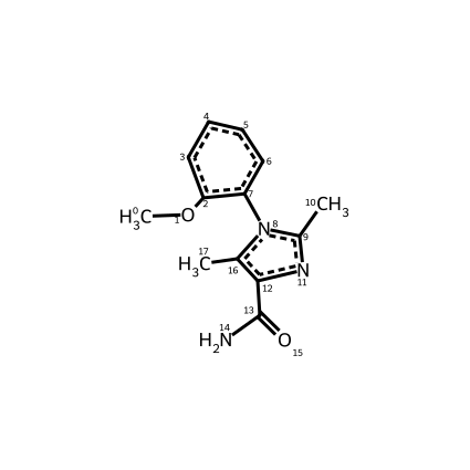 COc1ccccc1-n1c(C)nc(C(N)=O)c1C